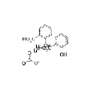 O=C(O)c1ccccc1O.O=C(O)c1ccccc1O.O=S([O-])[O-].[Li+].[Li+]